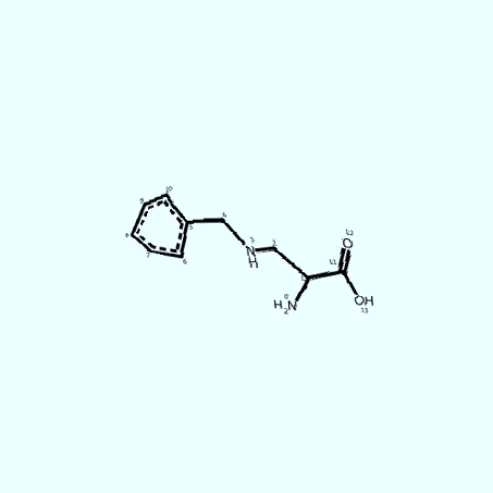 NC(CNCc1ccccc1)C(=O)O